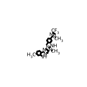 Cc1ccc(-c2ncc3c(n2)n(Cc2ccc(-c4nc(C(F)(F)F)cn4C)cc2)c(=N)n3C)c(C(C)C)c1